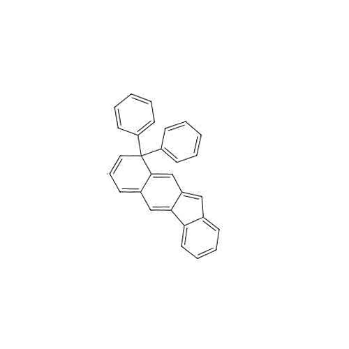 [C]1=CC(c2ccccc2)(c2ccccc2)c2cc3c(cc2=C1)-c1ccccc1C=3